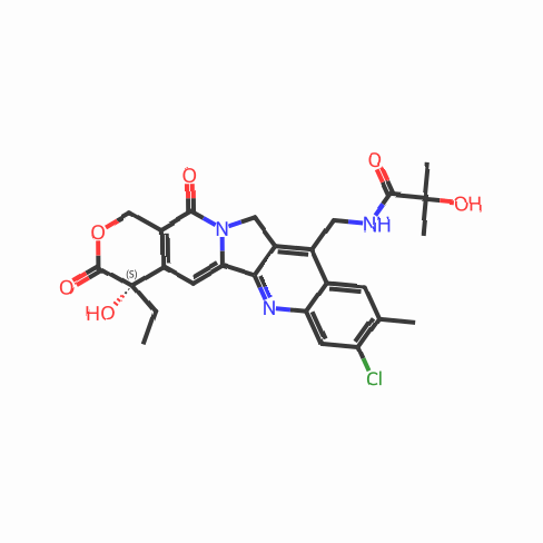 CC[C@@]1(O)C(=O)OCc2c1cc1n(c2=O)Cc2c-1nc1cc(Cl)c(C)cc1c2CNC(=O)C(C)(C)O